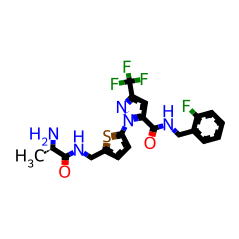 C[C@H](N)C(=O)NCc1ccc(-n2nc(C(F)(F)F)cc2C(=O)NCc2ccccc2F)s1